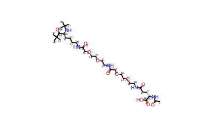 CC(=O)N[C@@H](CCC(=O)NCCOCCOCC(=O)NCCOCCOCC(=O)NCCCC[C@H](NC(C)(C)C)C(=O)C(C)(C)C)C(=O)O